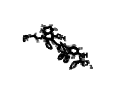 CC(C)CCn1c(=O)c(C2=NS(=O)(=O)c3cc(NC(=O)C(F)(F)F)ccc3N2)c(O)c2cccnc21